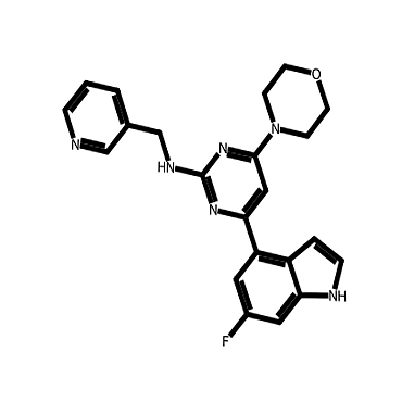 Fc1cc(-c2cc(N3CCOCC3)nc(NCc3cccnc3)n2)c2cc[nH]c2c1